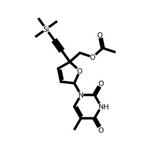 CC(=O)OCC1(C#C[Si](C)(C)C)C=CC(n2cc(C)c(=O)[nH]c2=O)O1